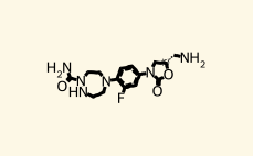 NC[C@H]1CN(c2ccc(N3CCNN(C(N)=O)CC3)c(F)c2)C(=O)O1